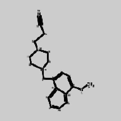 COc1ccc(CN2CCN(CCC#N)CC2)c2ccccc12